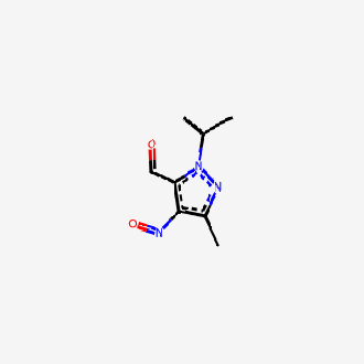 Cc1nn(C(C)C)c(C=O)c1N=O